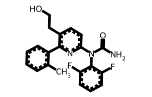 Cc1ccccc1-c1nc(N(C(N)=O)c2c(F)cccc2F)ccc1CCO